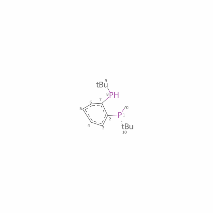 C[P@@](c1ccccc1PC(C)(C)C)C(C)(C)C